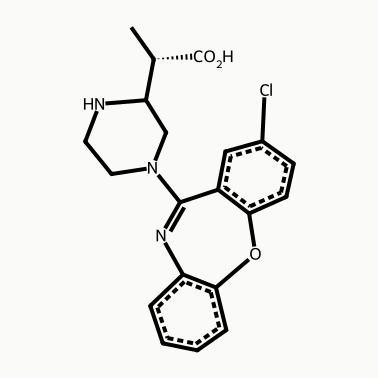 C[C@H](C(=O)O)C1CN(C2=Nc3ccccc3Oc3ccc(Cl)cc32)CCN1